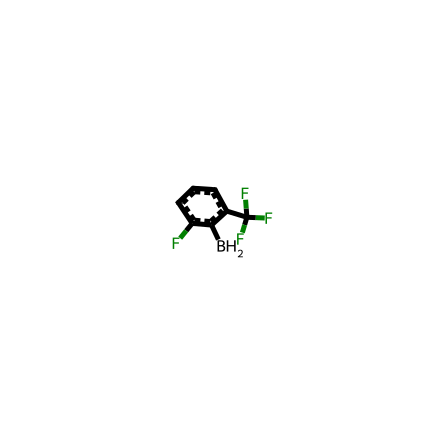 Bc1c(F)cccc1C(F)(F)F